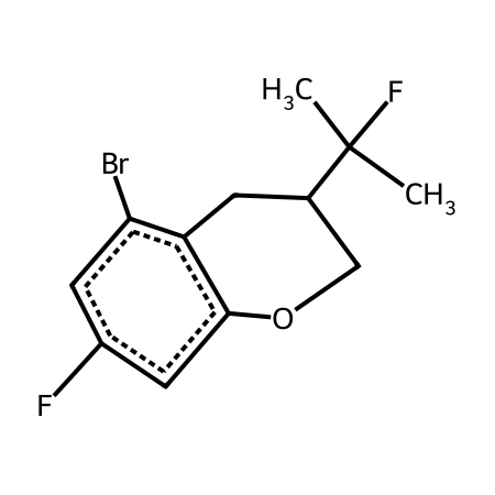 CC(C)(F)C1COc2cc(F)cc(Br)c2C1